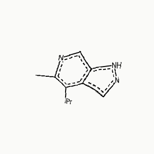 Cc1ncc2[nH]ncc2c1C(C)C